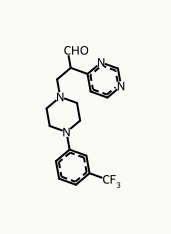 O=CC(CN1CCN(c2cccc(C(F)(F)F)c2)CC1)c1ccncn1